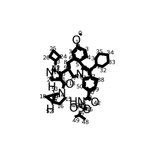 COc1ccc2c(c1)C=C(c1c(C(=O)N3CC[C@H]4C[C@H]43)cnn1C1CCC1)Cn1c-2c(C2CCCCC2)c2ccc(C(=O)NS(=O)(=O)C(C)C)cc21